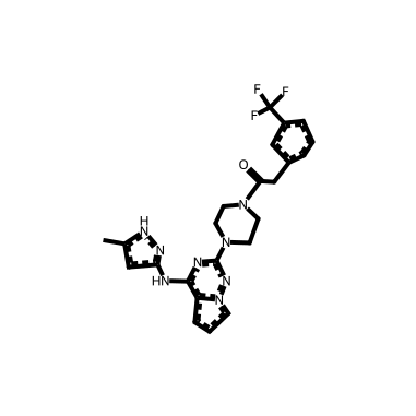 Cc1cc(Nc2nc(N3CCN(C(=O)Cc4cccc(C(F)(F)F)c4)CC3)nn3cccc23)n[nH]1